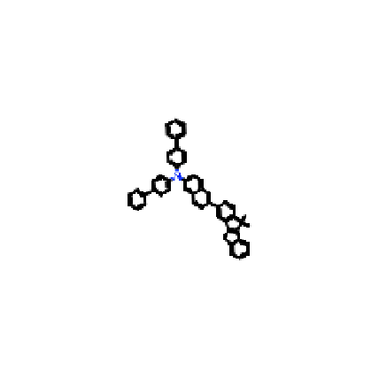 CC1(C)C2=C(Cc3ccccc32)c2cc(-c3ccc4cc(N(c5ccc(-c6ccccc6)cc5)c5ccc(-c6ccccc6)cc5)ccc4c3)ccc21